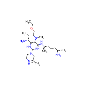 C=C(CCCC(C)N)N[C@H]1NC(N2CCN[C@H](C)C2)NC(C(N)CC)=C1N(C)CCOCC